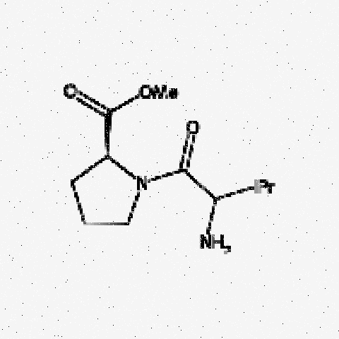 COC(=O)[C@@H]1CCCN1C(=O)C(N)C(C)C